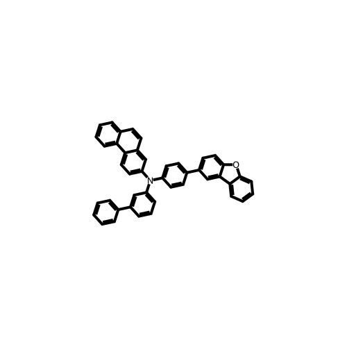 c1ccc(-c2cccc(N(c3ccc(-c4ccc5oc6ccccc6c5c4)cc3)c3ccc4c(ccc5ccccc54)c3)c2)cc1